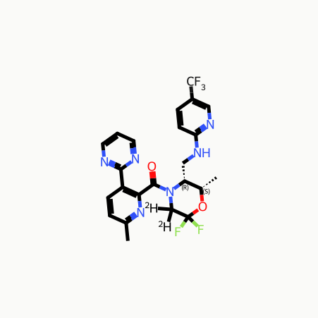 [2H]C1([2H])N(C(=O)c2nc(C)ccc2-c2ncccn2)[C@H](CNc2ccc(C(F)(F)F)cn2)[C@H](C)OC1(F)F